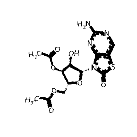 CC(=O)OC[C@H]1O[C@@H](n2c(=O)sc3cnc(N)nc32)[C@H](O)[C@@H]1OC(C)=O